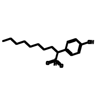 CCCCCCCCC(c1ccc(O)cc1)[SH](=O)=O